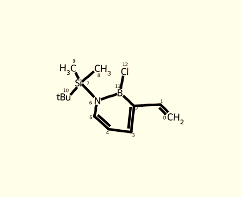 C=CC1=CC=CN([Si](C)(C)C(C)(C)C)B1Cl